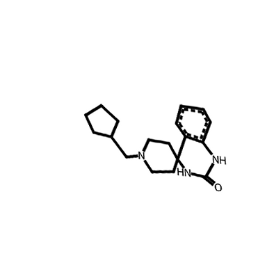 O=C1Nc2ccccc2C2(CCN(CC3CCCC3)CC2)N1